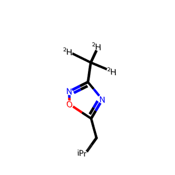 [2H]C([2H])([2H])c1noc(CC(C)C)n1